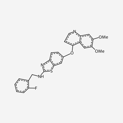 COc1cc2nccc(Oc3ccc4nc(NCc5ccccc5F)sc4c3)c2cc1OC